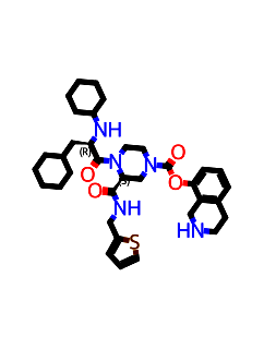 O=C(NCc1cccs1)[C@@H]1CN(C(=O)Oc2cccc3c2CNCC3)CCN1C(=O)[C@@H](CC1CCCCC1)NC1CCCCC1